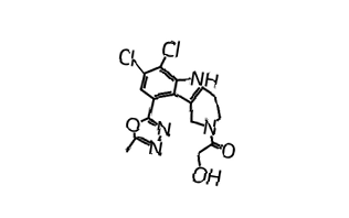 Cc1nnc(-c2cc(Cl)c(Cl)c3[nH]c4c(c23)CN(C(=O)CO)CC4)o1